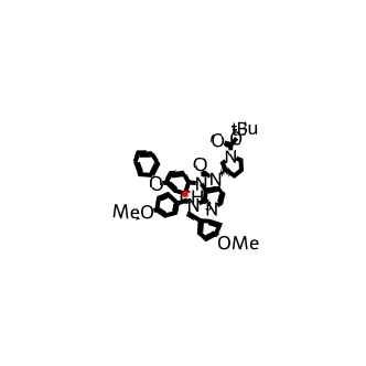 COc1ccc(CN(Cc2ccc(OC)cc2)c2nccc3c2n(C2C=CC(Oc4ccccc4)=CC2C)c(=O)n3[C@@H]2CCCN(C(=O)OC(C)(C)C)C2)cc1